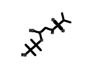 CC(C)S(=O)(=O)NCB(O)OC(C)(C)C(C)(C)O